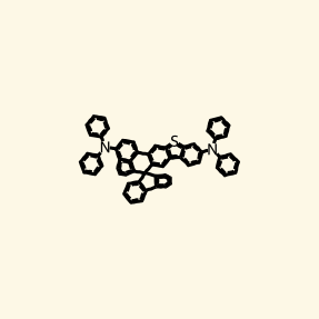 c1ccc(N(c2ccccc2)c2ccc3c(c2)sc2cc4c(cc23)C2(c3ccccc3-c3ccccc32)c2cccc3c(N(c5ccccc5)c5ccccc5)ccc-4c23)cc1